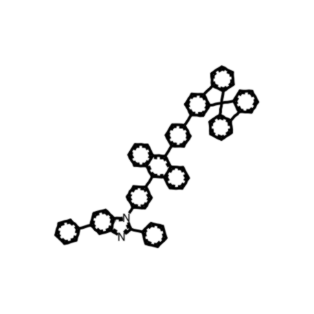 c1ccc(-c2ccc3c(c2)nc(-c2ccccc2)n3-c2ccc(-c3c4ccccc4c(-c4ccc(-c5ccc6c(c5)C5(c7ccccc7-c7ccccc75)c5ccccc5-6)cc4)c4ccccc34)cc2)cc1